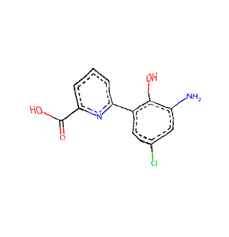 Nc1cc(Cl)cc(-c2cccc(C(=O)O)n2)c1O